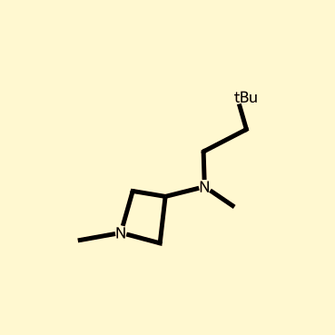 CN1CC(N(C)CCC(C)(C)C)C1